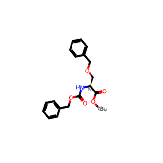 CC(C)(C)OC(=O)[C@H](COCc1ccccc1)NC(=O)OCc1ccccc1